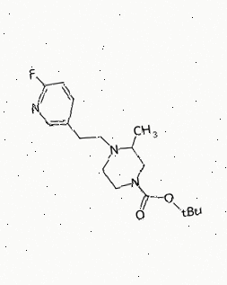 CC1CN(C(=O)OC(C)(C)C)CCN1CCc1ccc(F)nc1